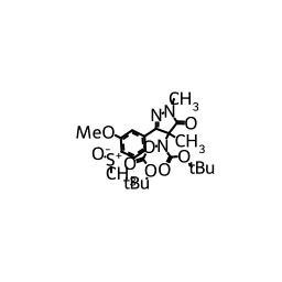 COc1cc(C2=NN(C)C(=O)C2(C)N(OC(=O)OC(C)(C)C)C(=O)OC(C)(C)C)ccc1[S+](C)[O-]